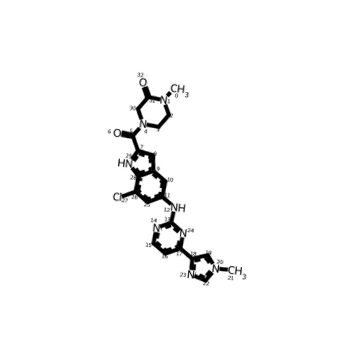 CN1CCN(C(=O)c2cc3cc(Nc4nccc(-c5cn(C)cn5)n4)cc(Cl)c3[nH]2)CC1=O